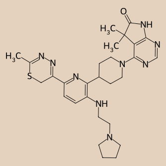 CC1=NN=C(c2ccc(NCCN3CCCC3)c(C3CCN(c4ncnc5c4C(C)(C)C(=O)N5)CC3)n2)CS1